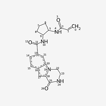 C=CC(=O)NC1CCCC1NC(=O)c1ccc2cc3n(c2c1)CCNC3=O